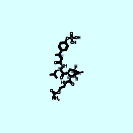 C/C(=C\C(=O)N[C@@H](CC(C)C)C(=O)N1C[C@H]2[C@@H](C)[C@H]2[C@H]1C(=O)NCCOC(N)=O)c1ccc(OP(=O)(O)O)cc1